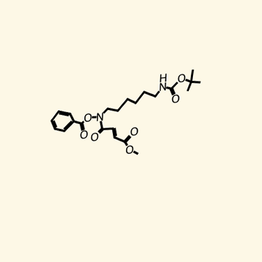 COC(=O)/C=C/C(=O)N(CCCCCCNC(=O)OC(C)(C)C)OC(=O)c1ccccc1